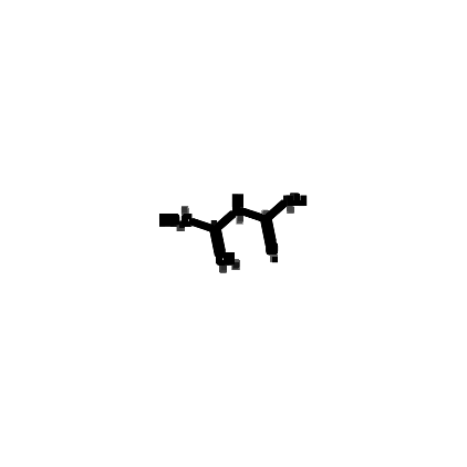 C=C(NC(=O)CCCC)C(=O)O